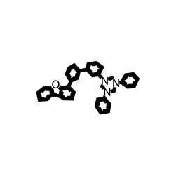 c1ccc(N2CN(c3ccccc3)CN(c3cccc(-c4cccc(-c5cccc6c5oc5ccccc56)c4)c3)C2)cc1